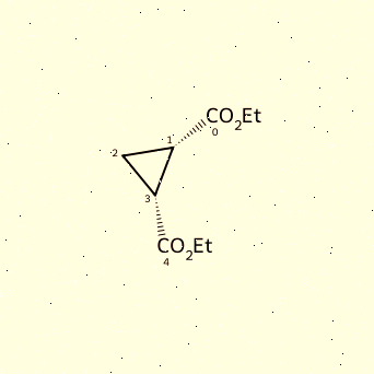 CCOC(=O)[C@H]1C[C@H]1C(=O)OCC